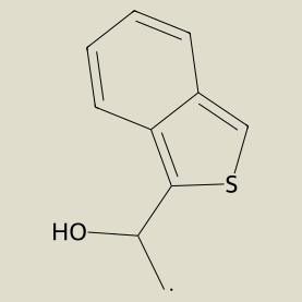 [CH2]C(O)c1scc2ccccc12